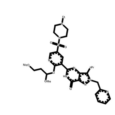 CCCc1c2nc(-c3cc(S(=O)(=O)N4CCN(CC)CC4)cnc3OC(CCOC)OC)[nH]c(=O)c2nn1Cc1ccccn1